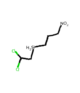 O=[N+]([O-])CCC[SiH2]CC(Cl)Cl